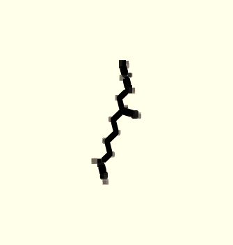 [N-]=[N+]=NCC(=O)CCCCN=O